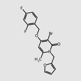 Cc1cc(OCc2ccc(F)cc2F)c(Br)c(=O)n1Cc1ccco1